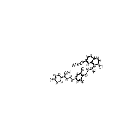 COc1ccc2ncc(Cl)c([C@H](F)CCc3c(F)cc(CCC[C@H](O)C4CCNCC4)cc3F)c2c1